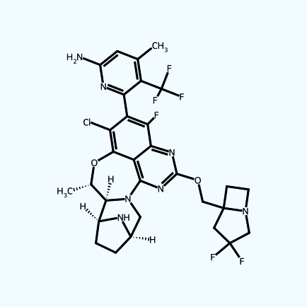 Cc1cc(N)nc(-c2c(Cl)c3c4c(nc(OCC56CCN5CC(F)(F)C6)nc4c2F)N2C[C@H]4CC[C@H](N4)[C@H]2[C@H](C)O3)c1C(F)(F)F